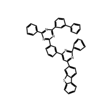 c1ccc(-c2cccc(-c3nc(-c4ccccc4)nc(-c4cccc(-c5cc(-c6ccc7c(c6)sc6ccccc67)nc(-c6ccccc6)n5)c4)n3)c2)cc1